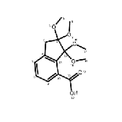 COC1(OC)Cc2cccc(C(=O)O)c2C1(OC)OC